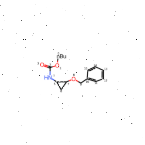 CCCCOC(=O)NC1CC1OCc1ccccc1